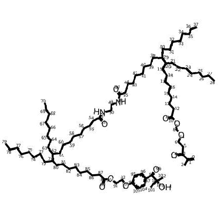 C=C(C)C(=O)CCOCOC(=O)CCCCCCCCC(CCCCCCCC)C(CCCCCCCC)CCCCCCCCC(=O)NCCNC(=O)CCCCCCCCC(CCCCCCCC)C(CCCCCCCC)CCCCCCCCC(=O)OCCOc1ccc(C(=O)C(C)(C)O)cc1